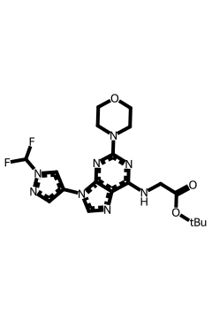 CC(C)(C)OC(=O)CNc1nc(N2CCOCC2)nc2c1ncn2-c1cnn(C(F)F)c1